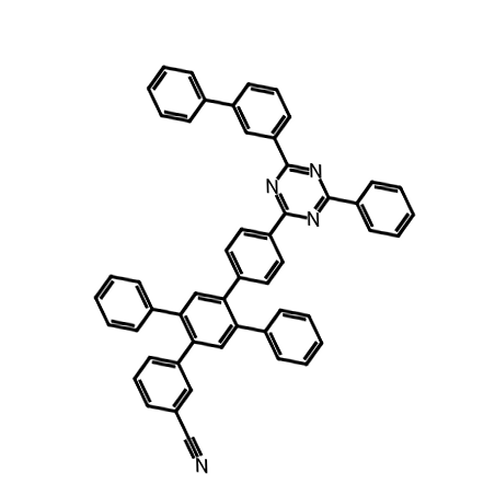 N#Cc1cccc(-c2cc(-c3ccccc3)c(-c3ccc(-c4nc(-c5ccccc5)nc(-c5cccc(-c6ccccc6)c5)n4)cc3)cc2-c2ccccc2)c1